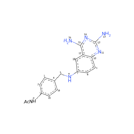 CC(=O)Nc1ccc(CNc2ccc3nc(N)nc(N)c3c2)cc1